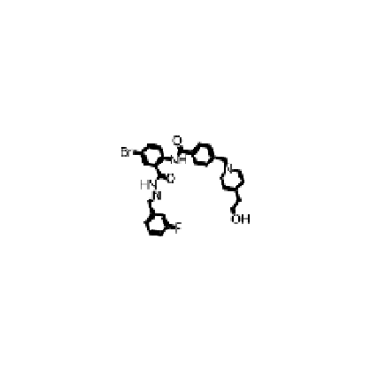 O=C(Nc1ccc(Br)cc1C(=O)NN=Cc1cccc(F)c1)c1ccc(CN2CCC(CCO)CC2)cc1